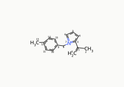 C=C(C)c1cccn1Cc1ccc(C)cc1